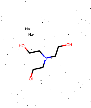 OCCN(CCO)CCO.[Na].[Na]